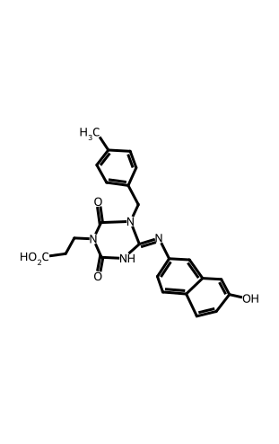 Cc1ccc(Cn2c(=O)n(CCC(=O)O)c(=O)[nH]/c2=N\c2ccc3ccc(O)cc3c2)cc1